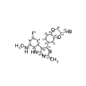 CNc1cc(F)cc2c1[nH]c1nc(C)nc(-c3ccc4c(c3)OC(C#N)CO4)c12